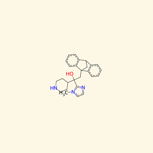 Cn1ccnc1C(O)(CC12CC(c3ccccc31)c1ccccc12)C1CCNCC1